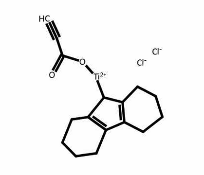 C#CC(=O)[O][Ti+2][CH]1C2=C(CCCC2)C2=C1CCCC2.[Cl-].[Cl-]